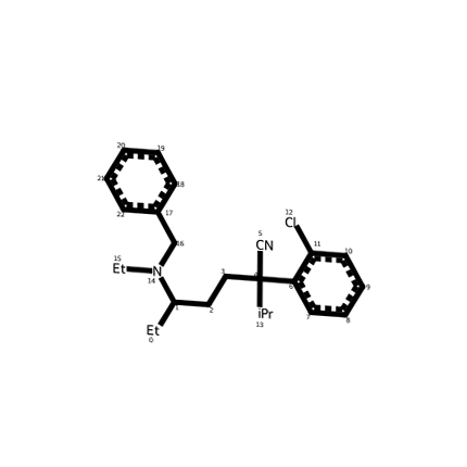 CCC(CCC(C#N)(c1ccccc1Cl)C(C)C)N(CC)Cc1ccccc1